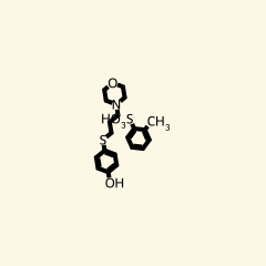 Cc1ccccc1S(=O)(=O)O.Oc1ccc(SCCCN2CCOCC2)cc1